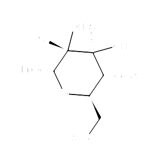 CC(=O)OC[C@H]1O[C@H](Br)[C@@](O)(C(C)=O)[C@](O)(C(C)=O)[C@@H]1OC(C)=O